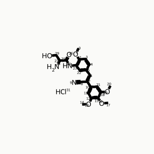 COc1ccc(C=C(C#N)c2cc(OC)c(OC)c(OC)c2)cc1NC(=O)C(N)CO.Cl